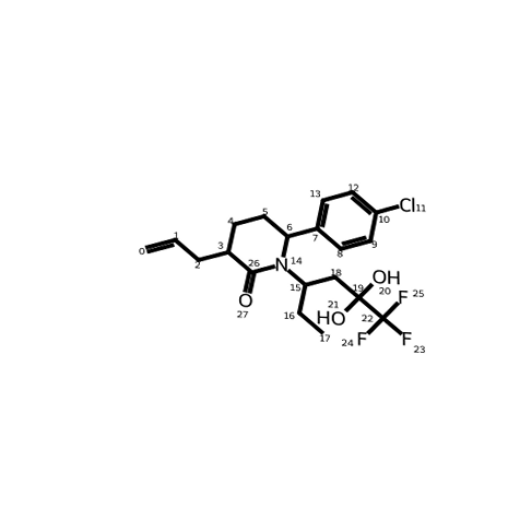 C=CCC1CCC(c2ccc(Cl)cc2)N(C(CC)CC(O)(O)C(F)(F)F)C1=O